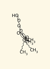 CCCCCCC(CCCCCC)OP(=O)(N(C)C)N1CCN(C(=O)OCCOCCOCCO)CC1